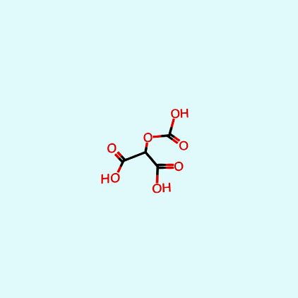 O=C(O)OC(C(=O)O)C(=O)O